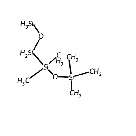 C[Si](C)(C)O[Si](C)(C)[SiH2]O[SiH3]